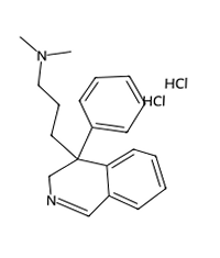 CN(C)CCCC1(c2ccccc2)CN=Cc2ccccc21.Cl.Cl